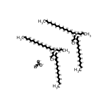 CCCCCCCCCCCCCCCC[P+](CCCC)(CCCC)CCCCCCCCCCCCCCCC.CCCCCCCCCCCCCCCC[P+](CCCC)(CCCC)CCCCCCCCCCCCCCCC.[H+].[O-]P([O-])[O-]